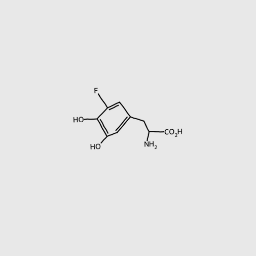 NC(Cc1cc(O)c(O)c(F)c1)C(=O)O